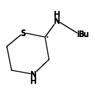 CCC(C)N[C]1CNCCS1